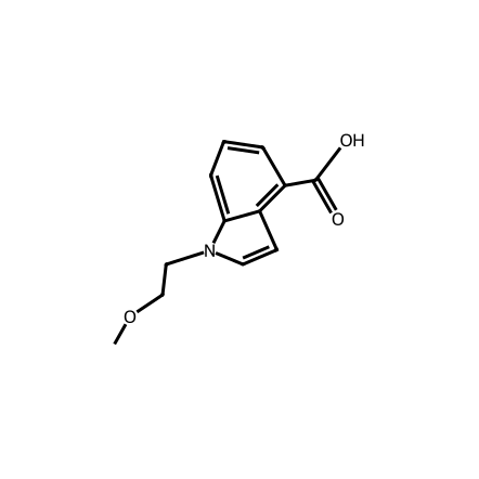 COCCn1ccc2c(C(=O)O)cccc21